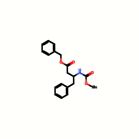 CC(C)(C)OC(=O)NC(CC(=O)OCc1ccccc1)Cc1ccccc1